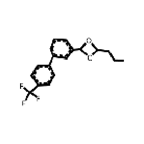 CCCC1OC(c2cccc(-c3ccc(C(F)(F)F)cc3)c2)O1